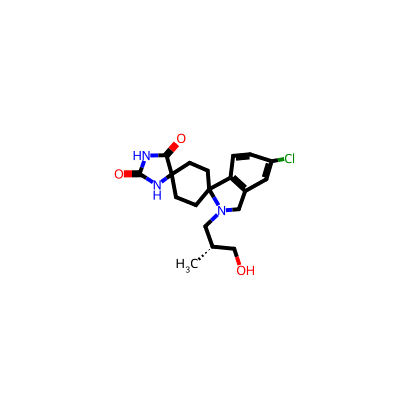 C[C@@H](CO)CN1Cc2cc(Cl)ccc2C12CCC1(CC2)NC(=O)NC1=O